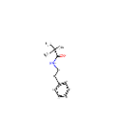 CCCCC(C)(C)C(=O)NCCc1ccccc1